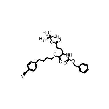 CC(C)(C)OC(=O)CCC(NC(=O)OCc1ccccc1)C(=O)NCCCCc1ccc(C#N)cc1